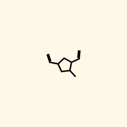 C=CC1CC(C)C(C=C)C1